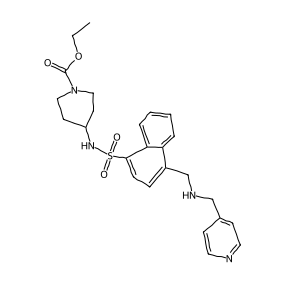 CCOC(=O)N1CCC(NS(=O)(=O)c2ccc(CNCc3ccncc3)c3ccccc23)CC1